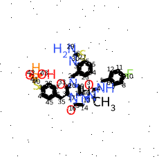 CN(C(=O)NCc1ccc(F)cc1)N1CC(=O)N2[C@H]1CN(Cc1cccc3sc(N)nc13)C(=O)[C@@H]2Cc1ccc(S[PH](=O)O)cc1